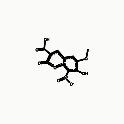 COc1cc2cc(C(=O)O)c(=O)oc2c([N+](=O)[O-])c1O